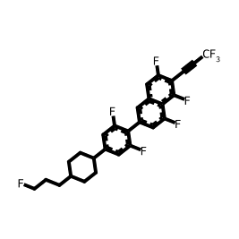 FCCCC1CCC(c2cc(F)c(-c3cc(F)c4c(F)c(C#CC(F)(F)F)c(F)cc4c3)c(F)c2)CC1